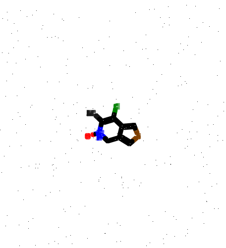 N#CC1=C(Cl)c2cscc2C[NH+]1[O-]